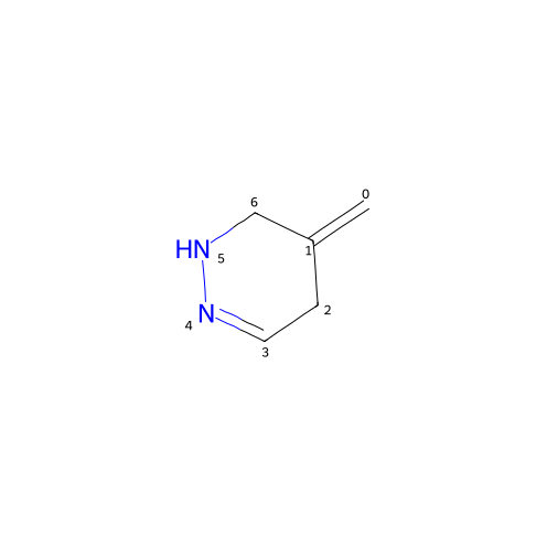 C=C1CC=NNC1